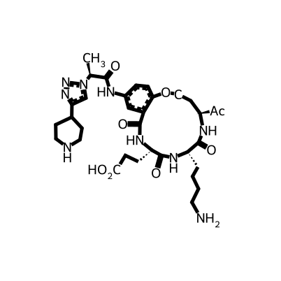 CC(=O)[C@@H]1CCOc2ccc(NC(=O)[C@H](C)n3cc(C4CCNCC4)nn3)cc2C(=O)N[C@@H](CCC(=O)O)C(=O)N[C@@H](CCCCN)C(=O)N1